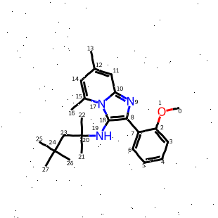 COc1ccccc1-c1nc2cc(C)cc(C)n2c1NC(C)(C)CC(C)(C)C